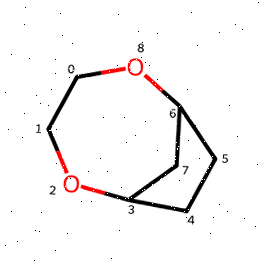 C1COC2CCC(C2)O1